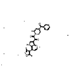 Cc1noc(C)c1-c1ccnc2c1NCC2C(=O)C(=O)N1CCN(C(=O)c2ccccc2)CC1C